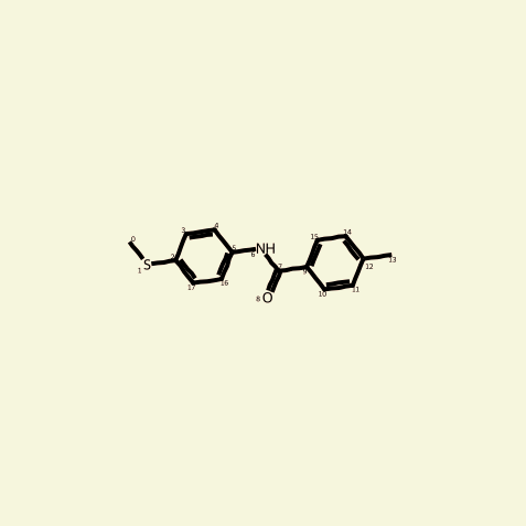 CSc1ccc(NC(=O)c2ccc(C)cc2)cc1